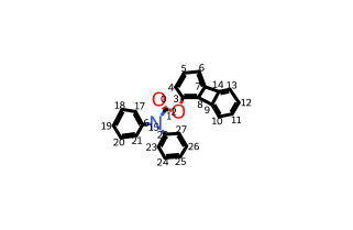 O=C(Oc1cccc2c1-c1ccccc1-2)N(c1ccccc1)c1ccccc1